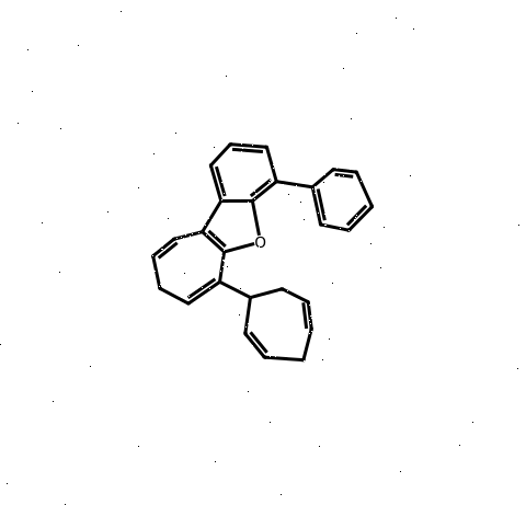 C1=CCC(C2=CCC=Cc3c2oc2c(-c4ccccc4)cccc32)C=CC1